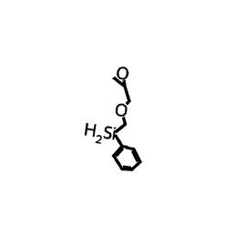 c1ccc([SiH2]COCC2CO2)cc1